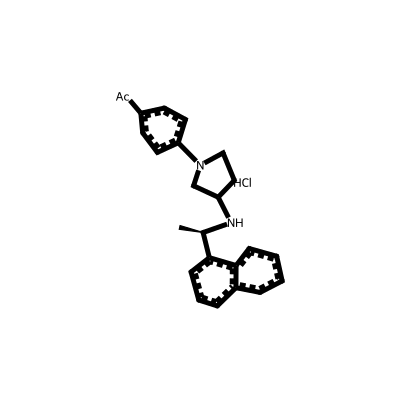 CC(=O)c1ccc(N2CCC(N[C@H](C)c3cccc4ccccc34)C2)cc1.Cl